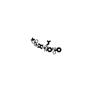 CC(C)=CCn1c(N2CC3CN(OC(=O)OC(C)(C)C)CC3C2)nc2ccc(NC(=O)c3ccccc3)cc21